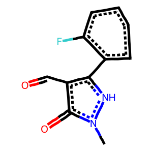 Cn1[nH]c(-c2ccccc2F)c(C=O)c1=O